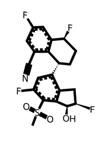 CS(=O)(=O)c1c(F)cc([C@H]2CC[C@H](F)c3cc(F)cc(C#N)c32)c2c1[C@H](O)[C@H](F)C2